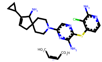 Nc1nc(N2CCC3(CC=C(C4CC4)C3N)CC2)cnc1Sc1ccnc(N)c1Cl.O=C(O)/C=C\C(=O)O